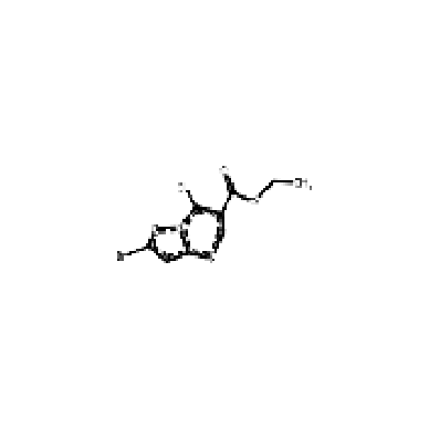 CCOC(=O)c1cnc2cc(Br)nn2c1Cl